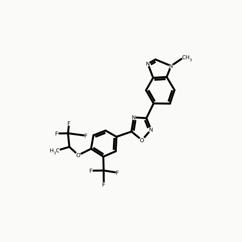 CC(Oc1ccc(-c2nc(-c3ccc4c(c3)ncn4C)no2)cc1C(F)(F)F)C(F)(F)F